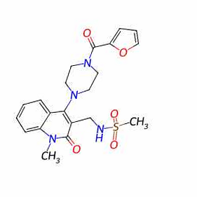 Cn1c(=O)c(CNS(C)(=O)=O)c(N2CCN(C(=O)c3ccco3)CC2)c2ccccc21